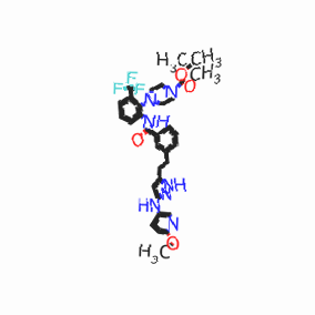 COc1ccc(Nc2cc(CCc3cccc(C(=O)Nc4cccc(C(F)(F)F)c4N4CCN(C(=O)OC(C)(C)C)CC4)c3)[nH]n2)cn1